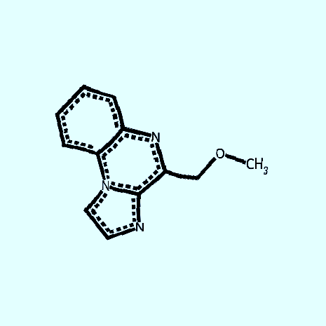 COCc1nc2ccccc2n2ccnc12